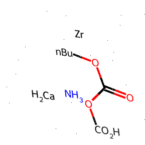 CCCCOC(=O)OC(=O)O.N.[CaH2].[Zr]